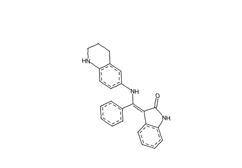 O=C1Nc2ccccc2/C1=C(/Nc1ccc2c(c1)CCCN2)c1ccccc1